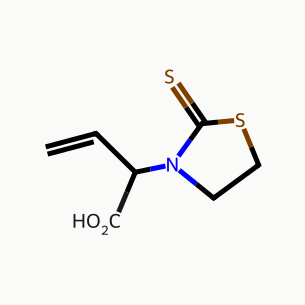 C=CC(C(=O)O)N1CCSC1=S